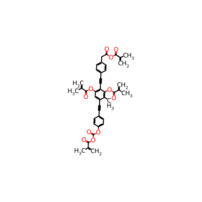 C=C(C)C(=O)OC(=O)Cc1ccc(C#Cc2c(OC(=O)C(=C)C)cc(C#Cc3ccc(OC(=O)OC(=O)C(=C)C)cc3)c(C)c2OC(=O)C(=C)C)cc1